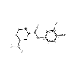 CC[S+]([O-])N1CCNC(C(=O)Nc2ccc(Cl)c(F)c2)C1